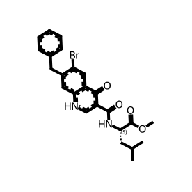 COC(=O)[C@H](CC(C)C)NC(=O)c1c[nH]c2cc(Cc3ccccc3)c(Br)cc2c1=O